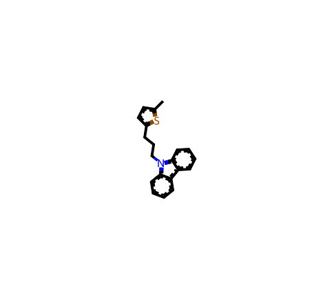 Cc1ccc(CCCn2c3ccccc3c3ccccc32)s1